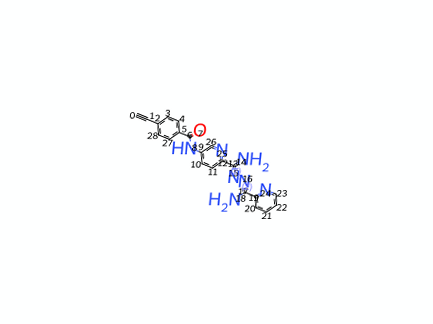 C#Cc1ccc(C(=O)Nc2ccc(/C(N)=N/N=C(\N)c3ccccn3)nc2)cc1